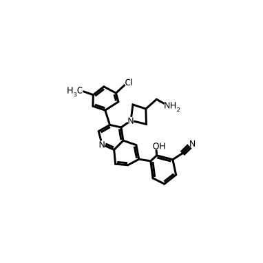 Cc1cc(Cl)cc(-c2cnc3ccc(-c4cccc(C#N)c4O)cc3c2N2CC(CN)C2)c1